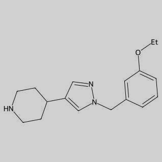 CCOc1cccc(Cn2cc(C3CCNCC3)cn2)c1